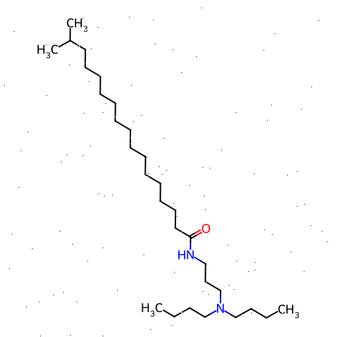 CCCCN(CCCC)CCCNC(=O)CCCCCCCCCCCCCCC(C)C